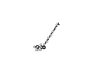 CC(C)OCCOCCOCCOCCOCCOCCOc1cccc2c1C(=O)N(C1CCC(=O)NC1=O)C2=O